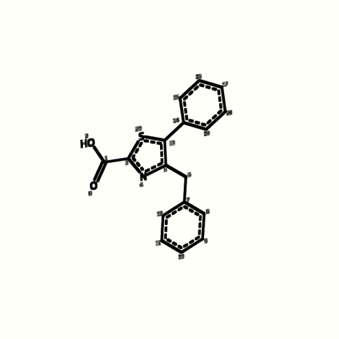 O=C(O)c1nc(Cc2ccccc2)c(-c2ccccc2)s1